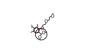 COCCOCCOc1c(C2OC3CCCCCCCC(CCC3)O2)cc(C)c(I)c1C